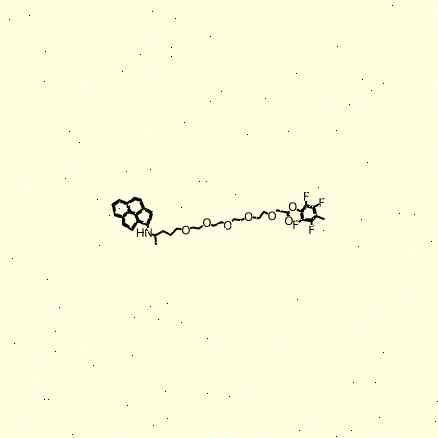 Cc1c(F)c(F)c(OC(=O)COCCOCCOCCOCCOCCCC(C)Nc2ccc3ccc4cccc5ccc2c3c45)c(F)c1F